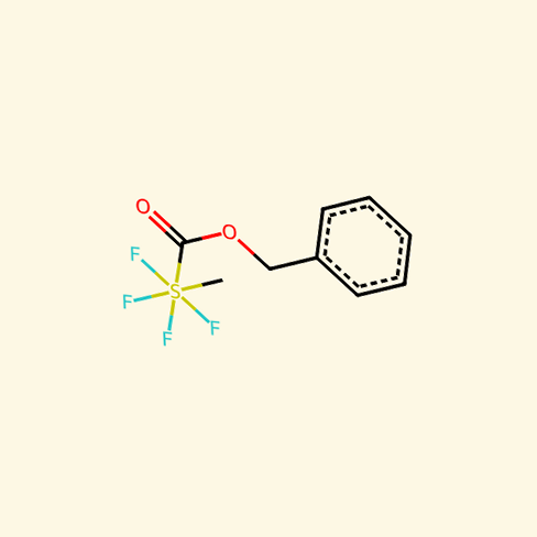 CS(F)(F)(F)(F)C(=O)OCc1ccccc1